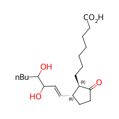 CCCCC(O)C(O)C=C[C@H]1CCC(=O)[C@@H]1CCCCCCC(=O)O